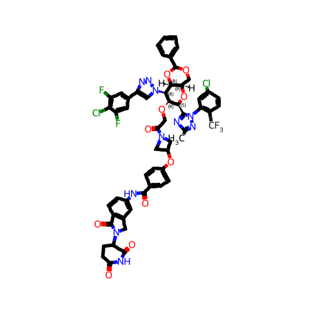 Cc1nc([C@@H]2O[C@@H]3COC(c4ccccc4)O[C@@H]3[C@H](n3cc(-c4cc(F)c(Cl)c(F)c4)nn3)[C@H]2OCC(=O)N2CC(Oc3ccc(C(=O)Nc4ccc5c(c4)CN(C4CCC(=O)NC4=O)C5=O)cc3)C2)n(-c2cc(Cl)ccc2C(F)(F)F)n1